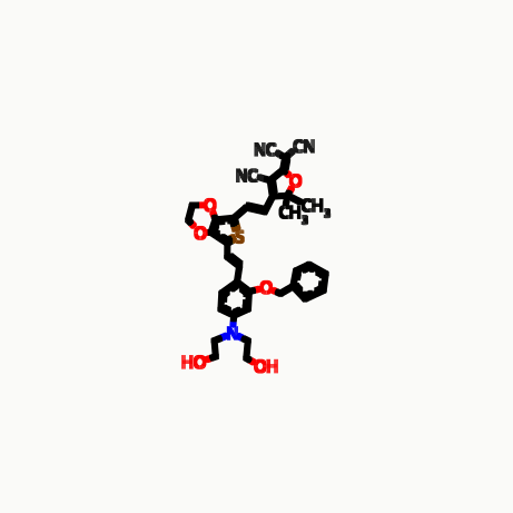 CC1(C)OC(=C(C#N)C#N)C(C#N)=C1/C=C/c1sc(/C=C/c2ccc(N(CCO)CCO)cc2OCc2ccccc2)c2c1OCCO2